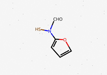 O=CN(S)c1ccco1